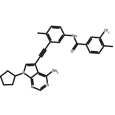 Cc1ccc(NC(=O)c2ccc(C)c(C(F)(F)F)c2)cc1C#Cc1cn(C2CCCC2)c2ncnc(N)c12